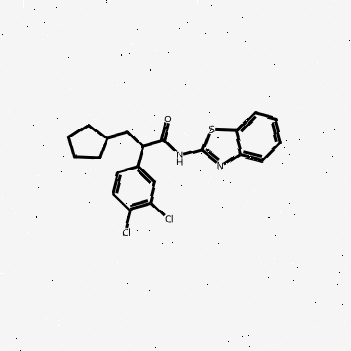 O=C(Nc1nc2ccccc2s1)C(CC1CCCC1)c1ccc(Cl)c(Cl)c1